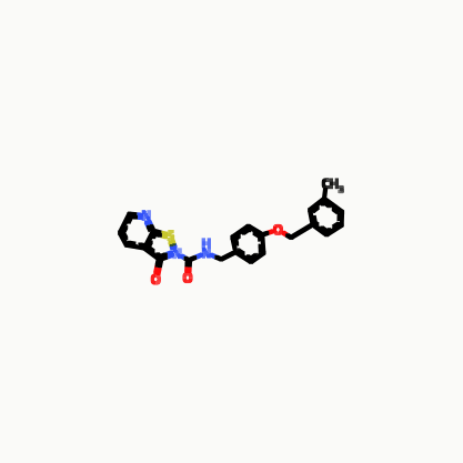 Cc1cccc(COc2ccc(CNC(=O)n3sc4ncccc4c3=O)cc2)c1